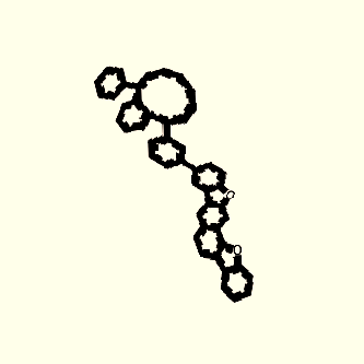 c1ccc(-c2ccccccc(-c3cccc(-c4ccc5oc6cc7c(ccc8c9ccccc9oc78)cc6c5c4)c3)c3ccccc23)cc1